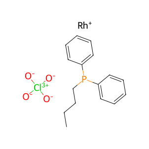 CCCCP(c1ccccc1)c1ccccc1.[O-][Cl+3]([O-])([O-])[O-].[Rh+]